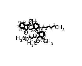 CCCCCCN1c2ccc(OC)c(CN3C(=O)c4ccccc4C3=O)c2Sc2c1ccc(OC)c2C(OC)OCCOC